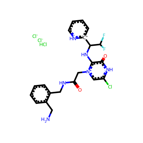 Cl.NCc1ccccc1CNC(=O)C[n+]1cc(Cl)[nH]c(=O)c1NC([c+]1cccc[nH]1)C(F)F.[Cl-].[Cl-]